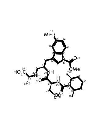 CC[C@@H](NC[C@@H](Cc1cn(C(=O)OC)c2ccc(OC)cc12)NC(=O)[C@H](CC(C)(C)C)NC(=O)N1[C@H](C)CCC[C@@H]1C)C(=O)O